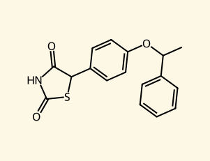 CC(Oc1ccc(C2SC(=O)NC2=O)cc1)c1ccccc1